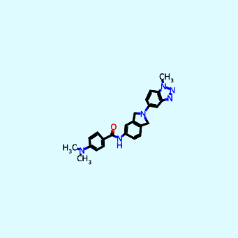 CN(C)c1ccc(C(=O)Nc2ccc3c(c2)CN(c2ccc4c(c2)nnn4C)C3)cc1